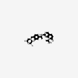 CC(Nc1ncc2ccc(=O)n(C(C)C(C)C)c2n1)c1ccc(CN2C[C@@H](C)O[C@@H](C)C2)c(F)c1